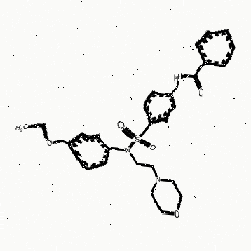 CCOc1ccc(N(CCN2CCOCC2)S(=O)(=O)c2ccc(NC(=O)c3ccccc3)cc2)cc1